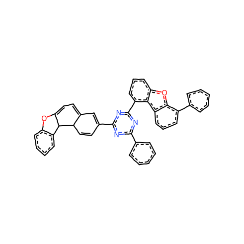 C1=CC2C(=CC=C3Oc4ccccc4C32)C=C1c1nc(-c2ccccc2)nc(-c2cccc3oc4c(-c5ccccc5)cccc4c23)n1